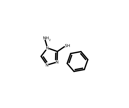 Nn1cnnc1S.c1ccccc1